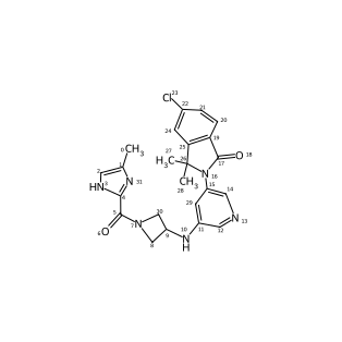 Cc1c[nH]c(C(=O)N2CC(Nc3cncc(N4C(=O)c5ccc(Cl)cc5C4(C)C)c3)C2)n1